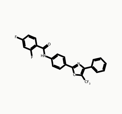 O=C(Nc1ccc(-c2nc(-c3ccccc3)c(C(F)(F)F)o2)cc1)c1ccc(F)cc1F